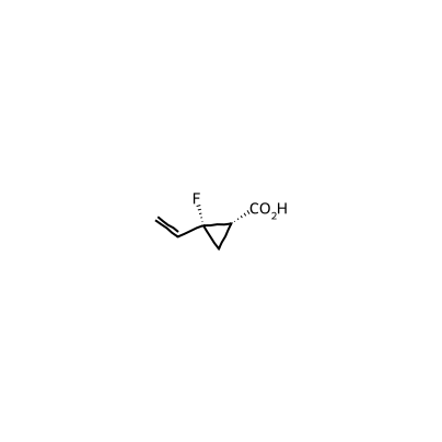 C=C[C@]1(F)C[C@H]1C(=O)O